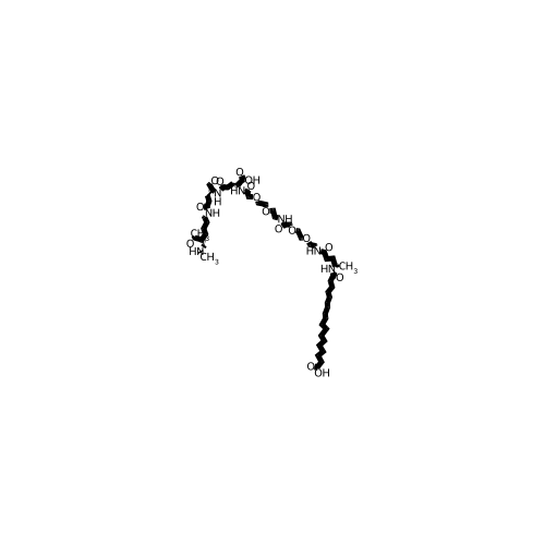 CNC[C@@H](CCCCNC(=O)CC[C@@H](C=O)NC(=O)CC[C@H](NC(=O)COCCOCCNC(=O)COCCOCCNC(=O)CC[C@@H](C)NC(=O)CCCCCCCCCCCCCCCCC(=O)O)C(=O)O)C(C)=O